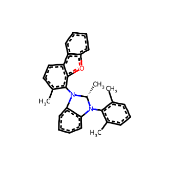 Cc1cccc(C)c1N1c2ccccc2N(c2c(C)ccc3c2oc2ccccc23)[C@@H]1C